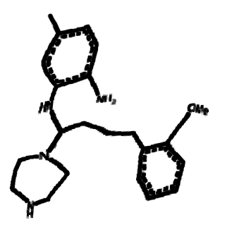 COc1ccccc1CCCC(Nc1cc(C)ccc1N)N1CCNCC1